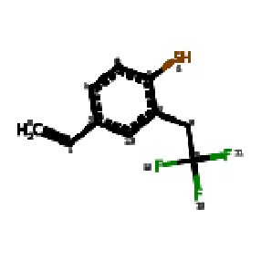 C=Cc1ccc(S)c(CC(F)(F)F)c1